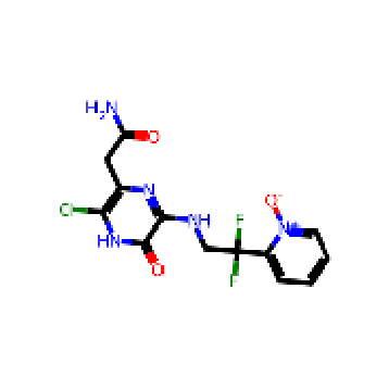 NC(=O)Cc1nc(NCC(F)(F)c2cccc[n+]2[O-])c(=O)[nH]c1Cl